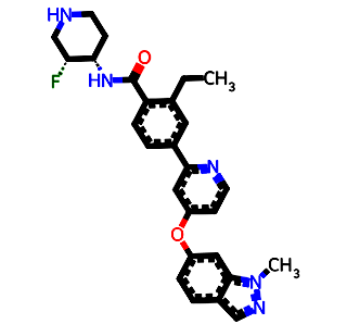 CCc1cc(-c2cc(Oc3ccc4cnn(C)c4c3)ccn2)ccc1C(=O)N[C@H]1CCNC[C@H]1F